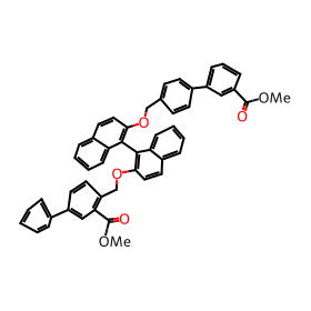 COC(=O)c1cccc(-c2ccc(COc3ccc4ccccc4c3-c3c(OCc4ccc(-c5ccccc5)cc4C(=O)OC)ccc4ccccc34)cc2)c1